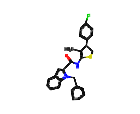 O=C(O)C1=C(NC(=O)c2cc3ccccc3n2Cc2ccccc2)SCC1c1ccc(Cl)cc1